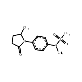 CC1CCC(=O)N1c1ccc(N(C)S(C)(=O)=O)cc1